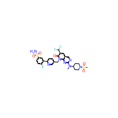 CN(c1ncc2cc(C(F)F)c(=O)n(Cc3ccc(-c4cc(S(N)(=O)=O)ccc4F)nc3)c2n1)C1CCN(S(C)(=O)=O)CC1